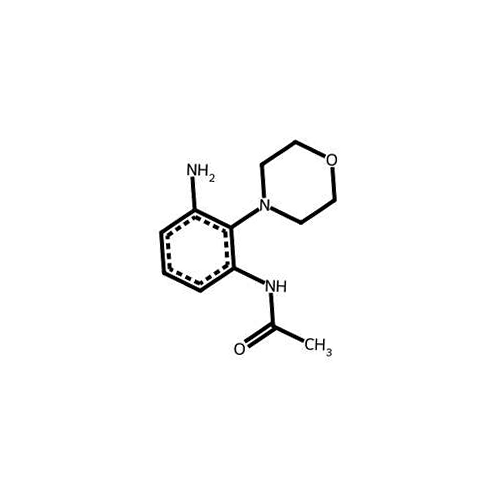 CC(=O)Nc1cccc(N)c1N1CCOCC1